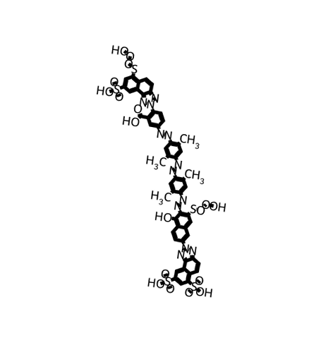 Cc1cc(N=Nc2cc(C)c(N=Nc3c(SOOO)cc4cc(-n5nc6ccc7c(S(=O)(=O)O)cc(S(=O)(=O)O)cc7c6n5)ccc4c3O)cc2C)c(C)cc1N=Nc1ccc(-n2nc3ccc4c(SOOO)cc(S(=O)(=O)O)cc4c3n2)c(C(=O)O)c1